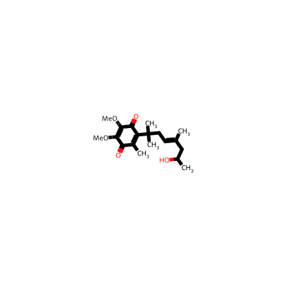 COC1=C(OC)C(=O)C(C(C)(C)C/C=C(\C)CC(C)O)=C(C)C1=O